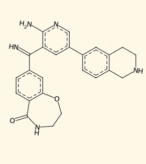 N=C(c1ccc2c(c1)OCCNC2=O)c1cc(-c2ccc3c(c2)CCNC3)cnc1N